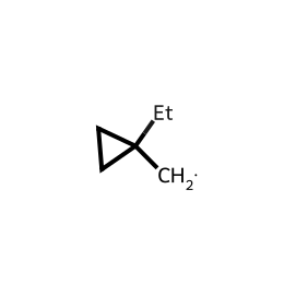 [CH2]C1(CC)CC1